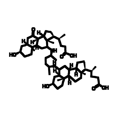 CC(CCC(C)NC1C[C@H]2[C@@H](C(=O)C[C@@H]3C[C@H](O)CC[C@@]32C)[C@@H]2CC[C@H]([C@H](C)CCC(=O)O)[C@@]12C)NC1C[C@@H]2[C@H](CC[C@]3(C)[C@@H]([C@H](C)CCC(=O)O)CC[C@@H]23)[C@@]2(C)CC[C@@H](O)C[C@@H]12